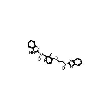 Cc1c(OCC[S+]([O-])c2nc3ccccc3s2)ccnc1C[S+]([O-])c1nc2ccccc2[nH]1